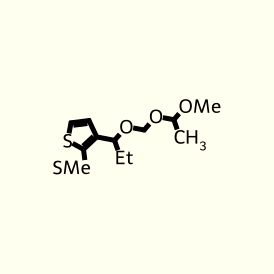 CCC(OCOC(C)OC)c1ccsc1SC